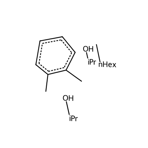 CC(C)O.CC(C)O.CCCCCCC.Cc1ccccc1C